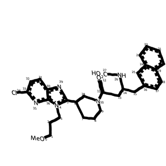 COCCCn1c(C2CCCN(C(=O)CC(Cc3ccc4ccccc4c3)NC(=O)O)C2)nc2ccc(Cl)nc21